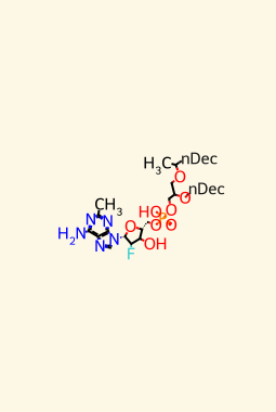 CCCCCCCCCCOC(COC(C)CCCCCCCCCC)COP(=O)(O)OC[C@H]1O[C@@H](n2cnc3c(N)nc(C)nc32)[C@H](F)C1O